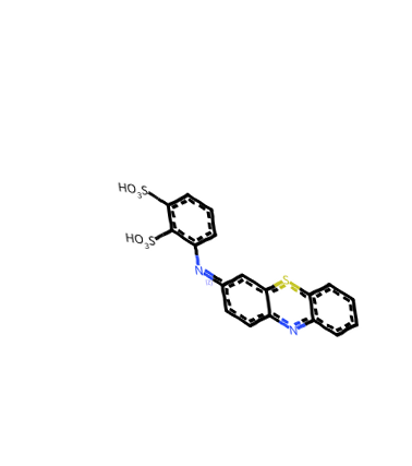 O=S(=O)(O)c1cccc(/N=c2/ccc3nc4ccccc4sc-3c2)c1S(=O)(=O)O